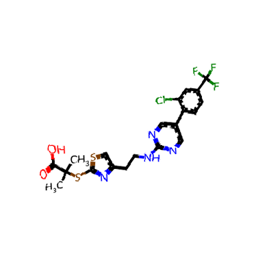 CC(C)(Sc1nc(CCNc2ncc(-c3ccc(C(F)(F)F)cc3Cl)cn2)cs1)C(=O)O